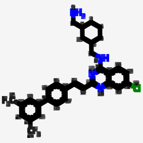 NCC1CCCC(CNc2nc(C=Cc3ccc(-c4cc(C(F)(F)F)cc(C(F)(F)F)c4)cc3)nc3cc(Cl)ccc23)C1